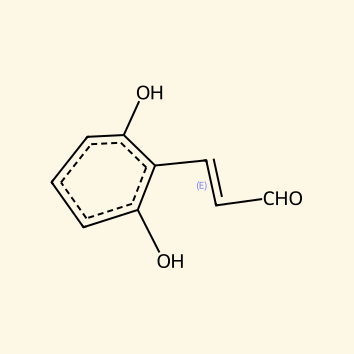 O=C/C=C/c1c(O)cccc1O